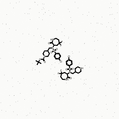 CC(C)(C)OC(=O)N1CCC(CN(C2CC(F)(F)CCNC2=O)S(=O)(=O)c2ccc(Cl)cc2)CC1.O=C1NCCC(F)(F)CC1N(CC1CCNCC1)S(=O)(=O)c1ccc(Cl)cc1